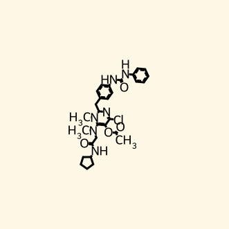 CC(=O)OC1=C(N(C)CC(=O)NC2CCCC2)N(C)C(Cc2ccc(NC(=O)Nc3ccccc3)cc2)N=C1Cl